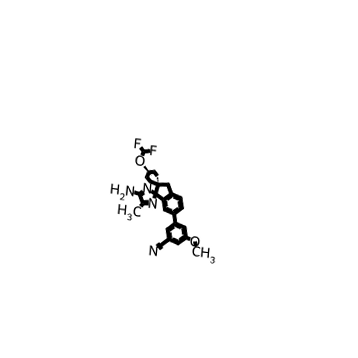 COc1cc(C#N)cc(-c2ccc3c(c2)C2(N=C(C)C(N)=N2)[C@]2(CC[C@H](OC(F)F)CC2)C3)c1